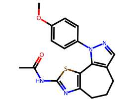 COc1ccc(-n2ncc3c2-c2sc(NC(C)=O)nc2CCC3)cc1